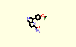 NC(=O)c1ccc2cncc(-c3ccc(OC(F)F)cc3)c2n1